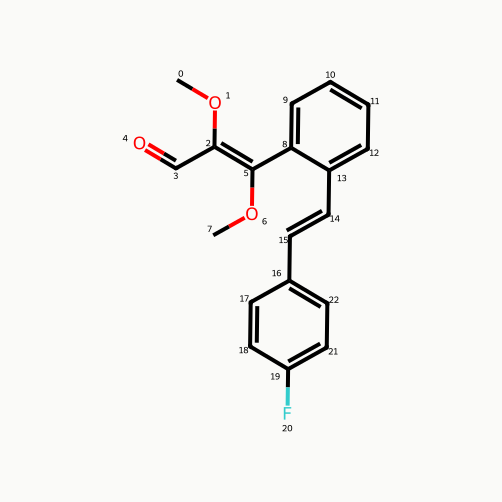 COC(C=O)=C(OC)c1ccccc1C=Cc1ccc(F)cc1